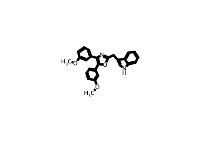 COc1cccc(-c2nc(Cc3c[nH]c4ccccc34)oc2-c2cccc(OC)c2)c1